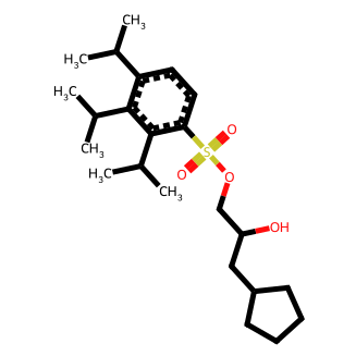 CC(C)c1ccc(S(=O)(=O)OCC(O)CC2CCCC2)c(C(C)C)c1C(C)C